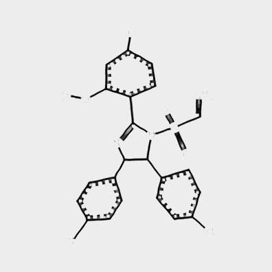 C=CS(=O)(=O)N1C(c2ccc(C(F)(F)F)cc2OCC)=NC(c2ccc(Cl)cc2)C1c1ccc(Cl)cc1